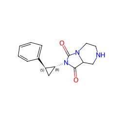 O=C1C2CNCCN2C(=O)N1[C@@H]1C[C@H]1c1ccccc1